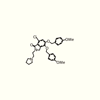 COc1ccc(COc2cc(Cl)c3c(c2OCc2ccc(OC)cc2)CN(CCN2CCCC2)C3=O)cc1